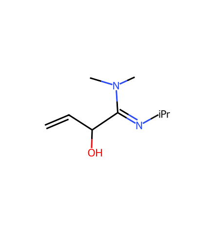 C=CC(O)C(=NC(C)C)N(C)C